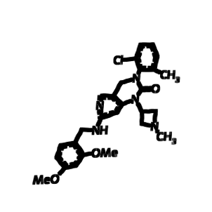 COc1ccc(CNc2cc3c(cn2)CN(c2c(C)cccc2Cl)C(=O)N3C2CN(C)C2)c(OC)c1